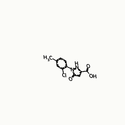 Cc1ccc(-n2[nH]c(C(=O)O)cc2=O)c(Cl)c1